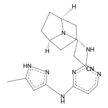 Cc1cc(Nc2ccnc(N[C@@H]3C[C@H]4CC[C@@H](C3)N4CCC#N)n2)n[nH]1